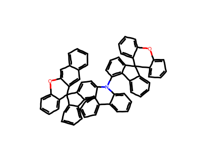 c1ccc(-c2ccccc2N(c2ccc3c(c2)-c2ccccc2C32c3ccccc3Oc3cc4ccccc4cc32)c2cccc3c2-c2ccccc2C32c3ccccc3Oc3ccccc32)cc1